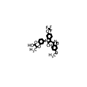 COc1ccc2c(-c3c(C)n(-c4cccc(O[C@@H](C)C(=O)O)c4)c4cc(OC(F)(F)F)ccc34)noc2c1